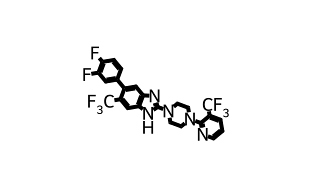 Fc1ccc(-c2cc3nc(N4CCN(c5ncccc5C(F)(F)F)CC4)[nH]c3cc2C(F)(F)F)cc1F